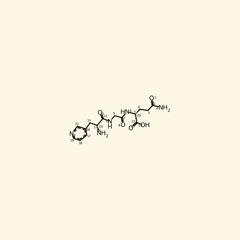 NC(=O)CC[C@H](NC(=O)CNC(=O)[C@@H](N)Cc1cccnc1)C(=O)O